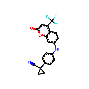 N#CC1(c2ccc(Nc3ccc4c(C(F)(F)F)cc(=O)oc4c3)cc2)CC1